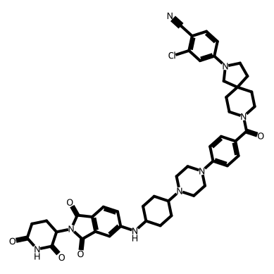 N#Cc1ccc(N2CCC3(CCN(C(=O)c4ccc(N5CCN(C6CCC(Nc7ccc8c(c7)C(=O)N(C7CCC(=O)NC7=O)C8=O)CC6)CC5)cc4)CC3)C2)cc1Cl